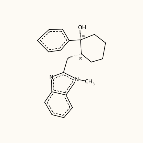 Cn1c(C[C@H]2CCCC[C@]2(O)c2ccccc2)nc2ccccc21